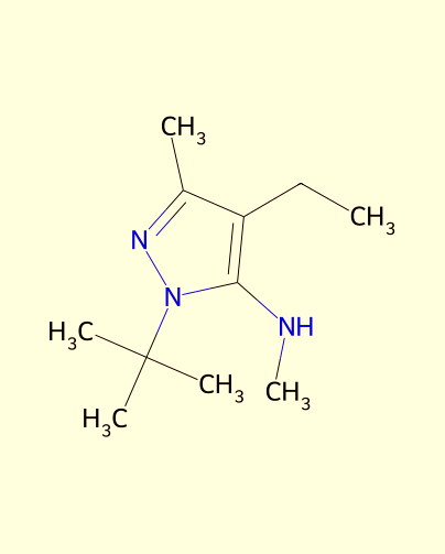 CCc1c(C)nn(C(C)(C)C)c1NC